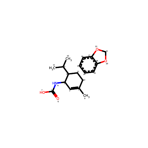 CC1=CC(NC(=O)O)C(C(C)C)CC1.c1ccc2c(c1)OCO2